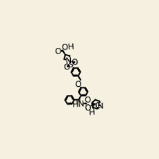 O=C(N[C@@H](c1ccccc1)c1cccc(OCc2ccc(S(=O)(=O)N3CC(C(=O)O)C3)cc2)c1)O[C@H]1CN2CCC1CC2